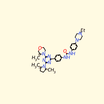 CCN1CCN(c2ccc(NC(=O)Nc3ccc(-c4nc(N5CCOC[C@H]5C)nc(N5[C@H](C)CC[C@@H]5C)n4)cc3)cc2)CC1